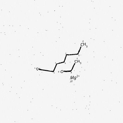 CCCCCC[O-].CC[O-].[Mg+2]